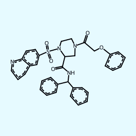 O=C(NC(c1ccccc1)c1ccccc1)C1CN(C(=O)COc2ccccc2)CCN1S(=O)(=O)c1ccc2ncccc2c1